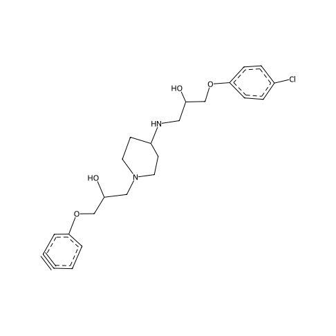 OC(CNC1CCN(CC(O)COc2cc#ccc2)CC1)COc1ccc(Cl)cc1